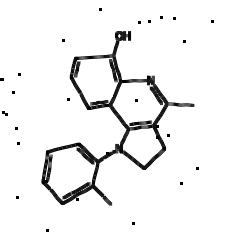 Cc1ccccc1N1CCc2c(C)nc3c(O)cccc3c21